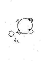 NCc1cccnc1-c1cc2cc3nc(cc4ccc(cc5nc(cc1[nH]2)C=C5)[nH]4)C=C3